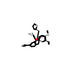 CC[C@H]1C[C@@]2(CC[C@@H]1OC)Cc1ccc(C#N)cc1[C@]21N=C(N)N(C[C@H]2CCCO2)C1=O